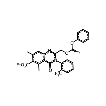 CCOC(=O)c1c(C)cc2nc(COC(=O)Oc3ccccc3)n(-c3ccccc3C(F)(F)F)c(=O)c2c1C